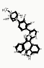 CN1C[C@@H]2C[C@H]1CN2c1ccc(-c2ccnc3c(-c4cccc5[nH]ncc45)c(-c4ccncc4)nn23)c(F)c1F